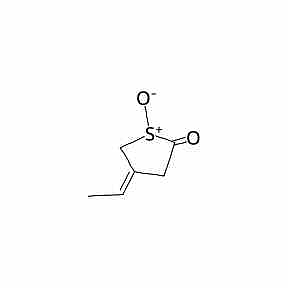 CC=C1CC(=O)[S+]([O-])C1